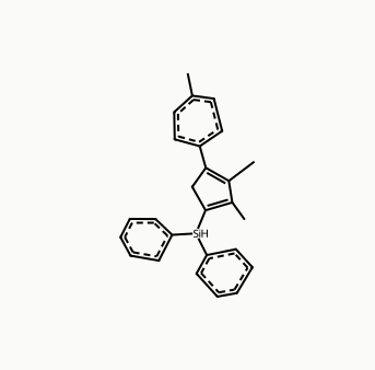 CC1=C(c2ccc(C)cc2)CC([SiH](c2ccccc2)c2ccccc2)=C1C